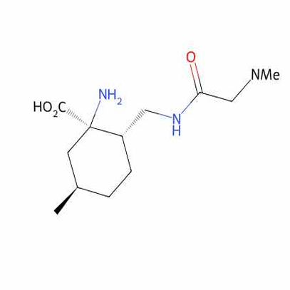 CNCC(=O)NC[C@@H]1CC[C@@H](C)C[C@]1(N)C(=O)O